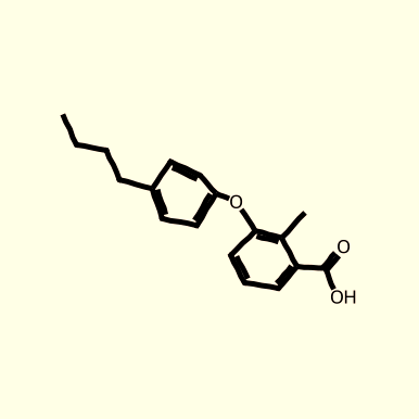 CCCCc1ccc(Oc2cccc(C(=O)O)c2C)cc1